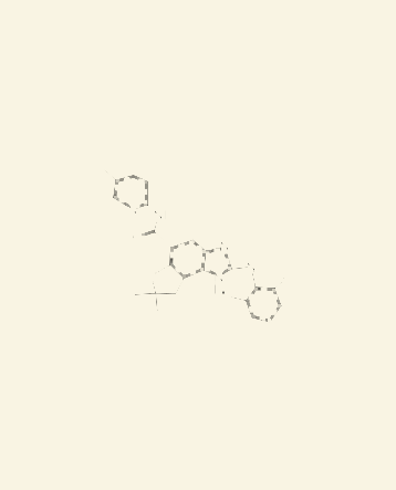 Cc1ccc(NC(=O)c2cc3nc(Nc4c(F)cccc4Cl)[nH]c3c3c2OC(C)(C)C3)nc1